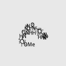 COc1cccc(CNC(=O)Nc2cc(C(=O)NCc3ccc(-c4nnn[nH]4)cc3)ncn2)c1